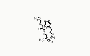 CCCCC(=O)OCCC(C)C.OCCCc1ccccc1